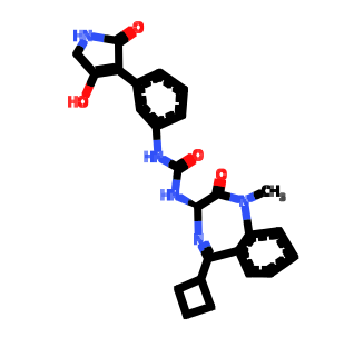 CN1C(=O)[C@H](NC(=O)Nc2cccc(C3=C(O)CNC3=O)c2)N=C(C2CCC2)c2ccccc21